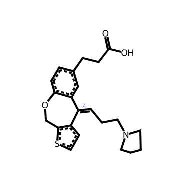 O=C(O)CCc1ccc2c(c1)/C(=C/CCN1CCCC1)c1ccsc1CO2